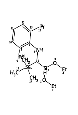 CCO[SiH](OCC)C(Nc1c(C(C)C)cccc1C(C)C)[Si](C)(C)C